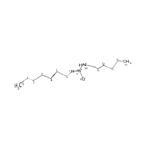 CCCCCCC/N=[N+](\[O-])NCCCCC